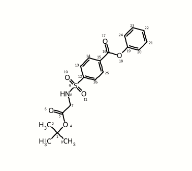 CC(C)(C)OC(=O)CNS(=O)(=O)c1ccc(C(=O)Oc2ccccc2)cc1